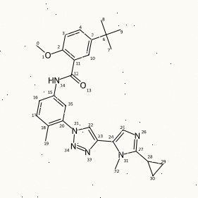 COc1ccc(C(C)(C)C)cc1C(=O)Nc1ccc(C)c(-n2cc(-c3cnc(C4CC4)n3C)nn2)c1